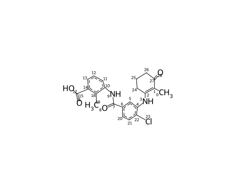 CC1=C(Nc2cc(C(=O)Nc3cccc(C(=O)O)c3C)ccc2Cl)CCCC1=O